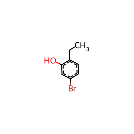 CCc1ccc(Br)cc1O